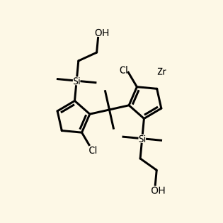 CC(C)(C1=C(Cl)CC=C1[Si](C)(C)CCO)C1=C(Cl)CC=C1[Si](C)(C)CCO.[Zr]